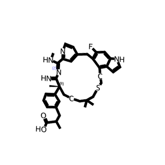 CN/C1=N\C(=N)[C@@](C)(c2cccc(CC(C)C(=O)O)c2)CCCC(C)(C)CSCCc2c(c(F)cc3[nH]ccc23)Cc2ccnc1c2